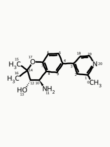 Cc1cc(-c2ccc3c(c2)[C@@H](N)[C@H](O)C(C)(C)O3)ccn1